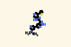 CN(C)c1cncc(-c2cnc3[nH]nc(-c4nc5c(-c6cccs6)cncc5[nH]4)c3c2)c1